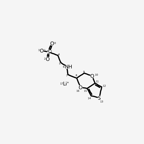 O=S(=O)([O-])CCNCC1COc2cscc2O1.[Li+]